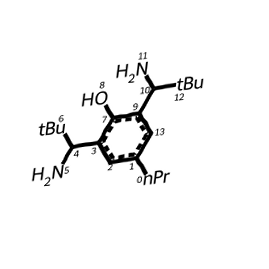 CCCc1cc(C(N)C(C)(C)C)c(O)c(C(N)C(C)(C)C)c1